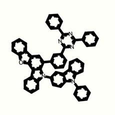 c1ccc(-c2nc(-c3ccccc3)nc(-c3cccc(-c4cc5c6ccccc6oc5c5c6ccccc6n(-c6ccc7c(c6)c6ccccc6n7-c6ccccc6)c45)c3)n2)cc1